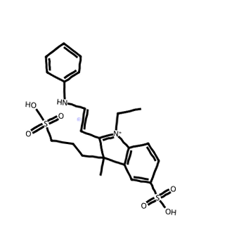 CC[N+]1=C(/C=C/Nc2ccccc2)C(C)(CCCS(=O)(=O)O)c2cc(S(=O)(=O)O)ccc21